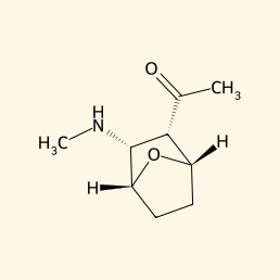 CN[C@@H]1[C@H](C(C)=O)[C@@H]2CC[C@H]1O2